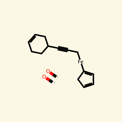 C(#CC1CC=CCC1)[CH2][Fe][C]1=CC=CC1.[C]=O.[C]=O